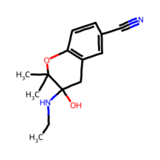 CCNC1(O)Cc2cc(C#N)ccc2OC1(C)C